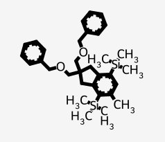 Cc1cc([Si](C)(C)C)c2c(c1[Si](C)(C)C)CC(COCc1ccccc1)(COCc1ccccc1)C2